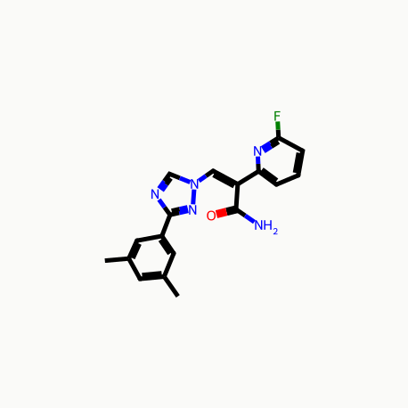 Cc1cc(C)cc(-c2ncn(C=C(C(N)=O)c3cccc(F)n3)n2)c1